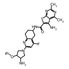 Cc1nc(C)c2c(N)c(C(=O)NC3CCc4nc(N5CC(N)C(OC(C)C)C5)cc(F)c4C3)sc2n1